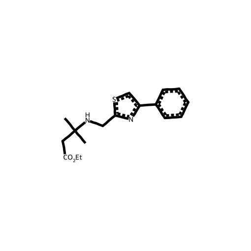 CCOC(=O)CC(C)(C)NCc1nc(-c2ccccc2)cs1